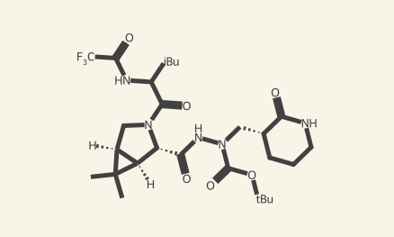 CCC(C)C(NC(=O)C(F)(F)F)C(=O)N1C[C@H]2[C@@H]([C@H]1C(=O)NN(C[C@H]1CCCNC1=O)C(=O)OC(C)(C)C)C2(C)C